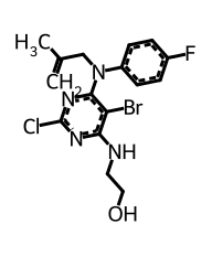 C=C(C)CN(c1ccc(F)cc1)c1nc(Cl)nc(NCCO)c1Br